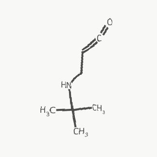 CC(C)(C)NCC=C=O